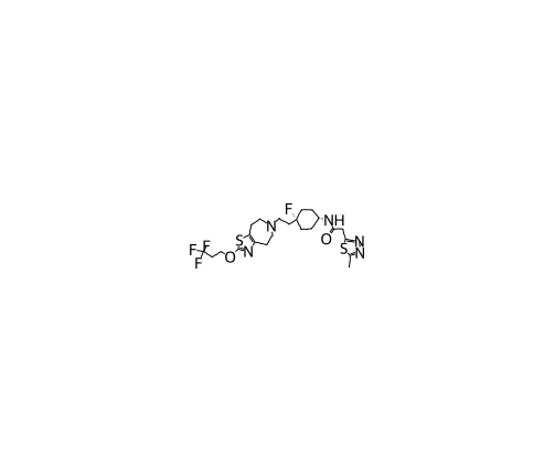 Cc1nnc(CC(=O)N[C@H]2CC[C@](F)(CCN3CCc4nc(OCCC(F)(F)F)sc4CC3)CC2)s1